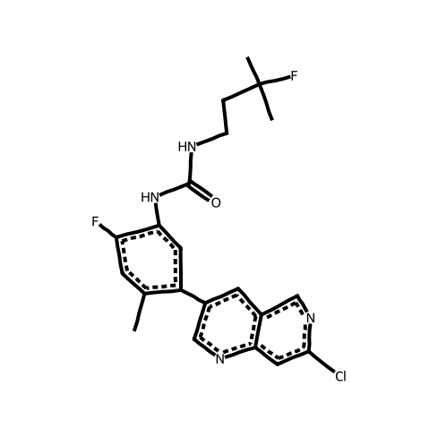 Cc1cc(F)c(NC(=O)NCCC(C)(C)F)cc1-c1cnc2cc(Cl)ncc2c1